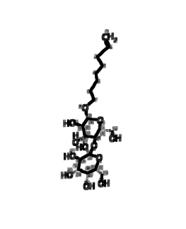 C=CCCCCCCO[C@H]1O[C@H](CO)[C@@H](O[C@@]2(O)O[C@H](CO)[C@H](O)[C@H](O)[C@H]2O)[C@H](O)[C@H]1O